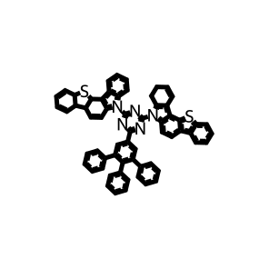 C1=CC2SC3c4c(n(-c5nc(-c6cc(-c7ccccc7)c(-c7ccccc7)c(-c7ccccc7)c6)nc(-n6c7c(c8c9sc%10ccccc%10c9ccc86)C=CCC7)n5)c5ccccc45)C=CC3C2C=C1